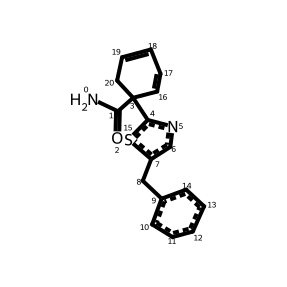 NC(=O)C1(c2ncc(Cc3ccccc3)s2)C=CC=CC1